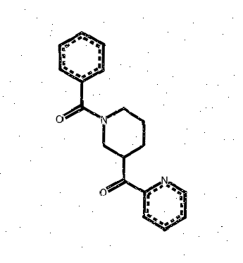 O=C(c1ccccn1)C1CCCN(C(=O)c2ccccc2)C1